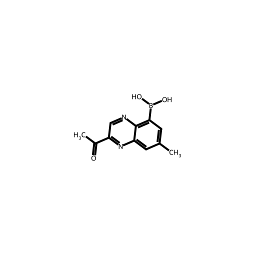 CC(=O)c1cnc2c(B(O)O)cc(C)cc2n1